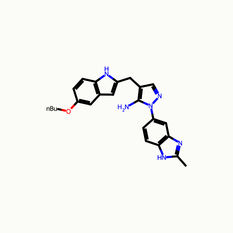 CCCCOc1ccc2[nH]c(Cc3cnn(-c4ccc5[nH]c(C)nc5c4)c3N)cc2c1